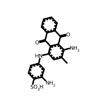 Cc1cc(Nc2ccc(S(=O)(=O)O)c(N)c2)c2c(c1N)C(=O)c1ccccc1C2=O